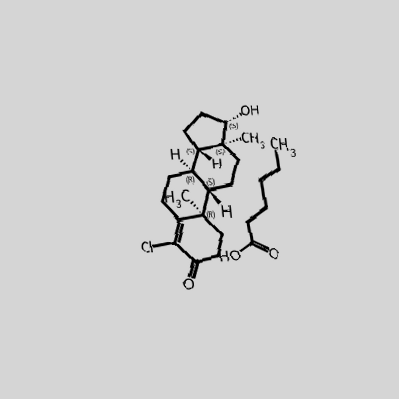 CCCCCC(=O)O.C[C@]12CC[C@H]3[C@@H](CCC4=C(Cl)C(=O)CC[C@@]43C)[C@@H]1CC[C@@H]2O